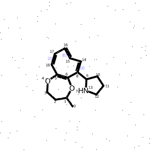 CC1CCOC2=C(O1)C(\C1CCCN1)=C/C=C/C=C\2